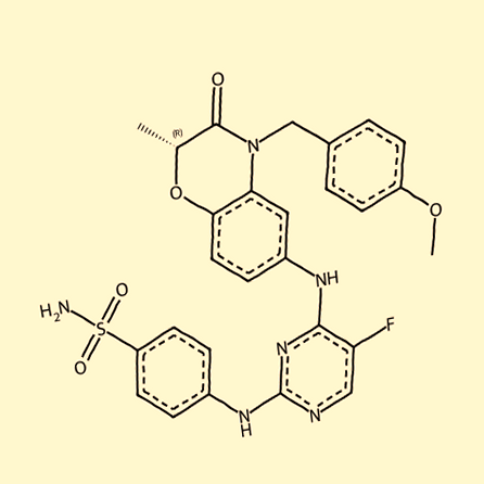 COc1ccc(CN2C(=O)[C@@H](C)Oc3ccc(Nc4nc(Nc5ccc(S(N)(=O)=O)cc5)ncc4F)cc32)cc1